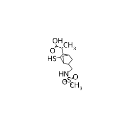 CC(C(=O)O)C1C2CC(CNS(C)(=O)=O)C(C2)C1S